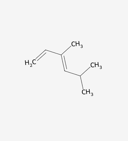 C=CC(C)=CC(C)C